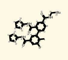 Cc1c(F)cc(C(=O)Nc2nccs2)cc1-c1ccc(C(=O)NCC(C)(C)C)cc1C(=O)Nc1nccs1